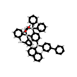 c1ccc(-c2ccc(N(c3ccc4c(c3)[Si]3(c5ccccc5Oc5ccccc53)c3ccccc3[Si]4(c3ccccc3)c3ccccc3)c3cccc4ccccc34)cc2)cc1